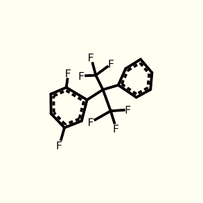 Fc1ccc(F)c(C(c2ccccc2)(C(F)(F)F)C(F)(F)F)c1